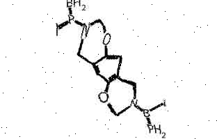 BP(I)N1COc2cc3c(cc2C1)OCN(B(P)I)C3